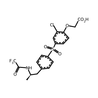 C[C@H](Cc1ccc(S(=O)(=O)c2ccc(OCC(=O)O)c(Cl)c2)cc1)NC(=O)C(F)(F)F